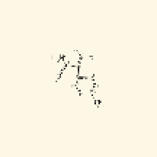 CC(C)=C(C(N)=O)c1ccc(C(F)(F)F)cc1